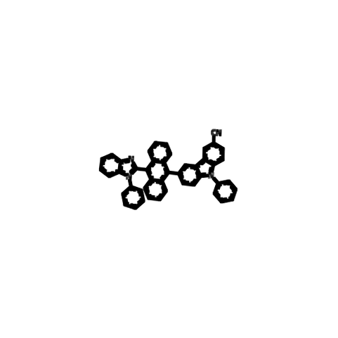 N#Cc1ccc2c(c1)c1cc(-c3c4ccccc4c(-c4nc5ccccc5n4-c4ccccc4)c4ccccc34)ccc1n2-c1ccccc1